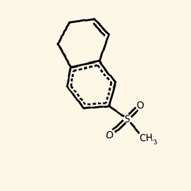 CS(=O)(=O)c1ccc2c(c1)C=CCC2